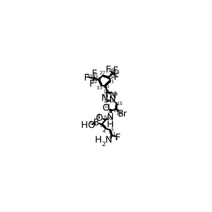 N/C(F)=C\C=C1\B(O)OC1NC(=O)/C(Br)=C\n1cnc(-c2cc(C(F)(F)F)cc(C(F)(F)F)c2)n1